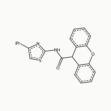 CC(C)c1csc(NC(=O)C2c3ccccc3Oc3ccccc32)n1